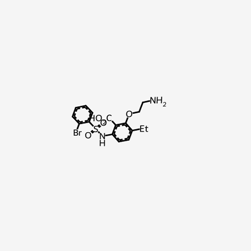 CCc1ccc(NS(=O)(=O)c2ccccc2Br)c(C(=O)O)c1OCCN